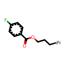 CC(C)CCCOC(=O)c1ccc(F)cc1